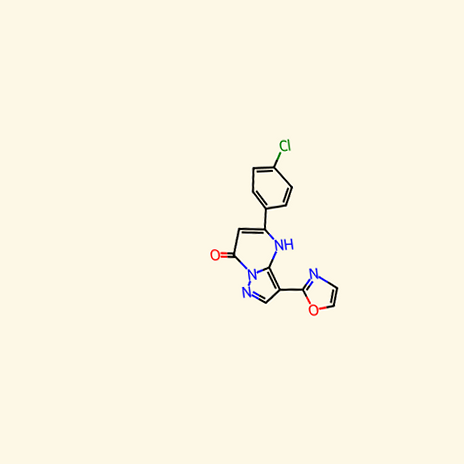 O=c1cc(-c2ccc(Cl)cc2)[nH]c2c(-c3ncco3)cnn12